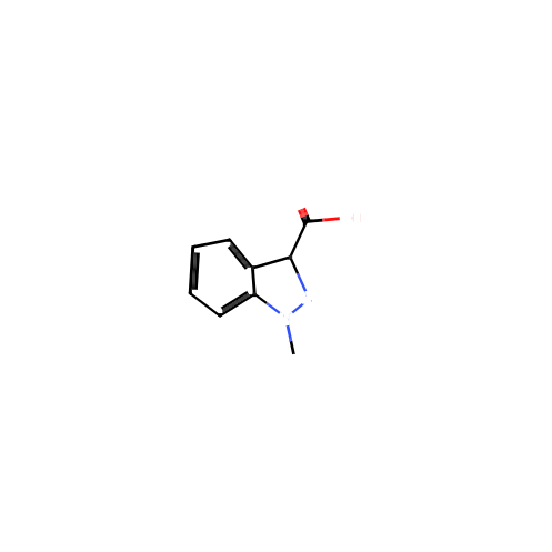 CN1NC(C(=O)O)c2ccccc21